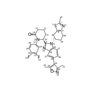 Cc1nc2c(s1)C[C@@H](n1c([C@@H]3CCCC(=O)N3c3ccc(F)c(F)c3)nc3cc(-c4c(C)noc4C)ccc31)CC2